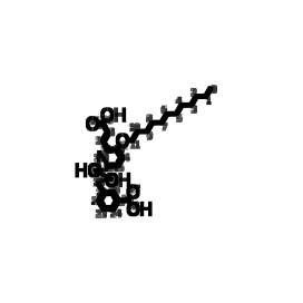 CCCCCCCCCCCCOc1ccc(S(O)(O)Cc2cccc(C(=O)O)c2)nc1C=CC(=O)O